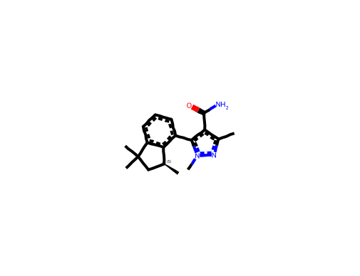 Cc1nn(C)c(-c2cccc3c2[C@@H](C)CC3(C)C)c1C(N)=O